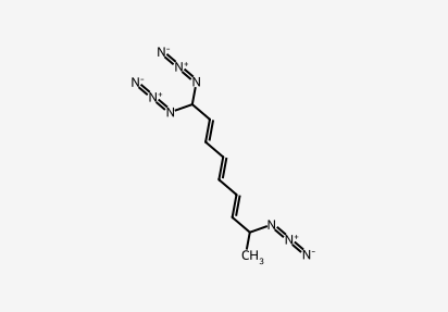 CC(/C=C/C=C/C=C/C(N=[N+]=[N-])N=[N+]=[N-])N=[N+]=[N-]